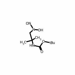 CC(C)(CN(O)N=O)NC(=O)OC(C)(C)C